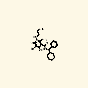 CCCNn1c(C)c(C(=O)N[C@H](c2ccccc2)C2CCCCC2)c(C)c(Br)c1=O